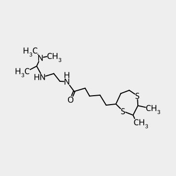 CC1SCCC(CCCCC(=O)NCCNC(C)N(C)C)SC1C